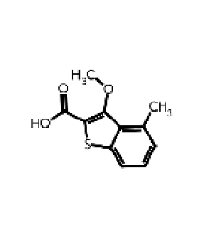 COc1c(C(=O)O)sc2cccc(C)c12